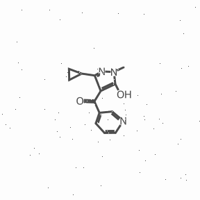 Cn1nc(C2CC2)c(C(=O)c2cccnc2)c1O